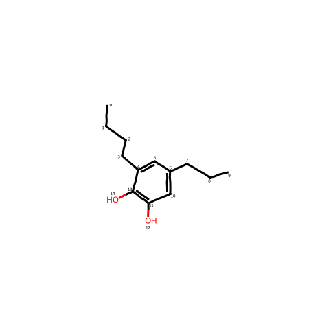 CCCCc1cc(CCC)cc(O)c1O